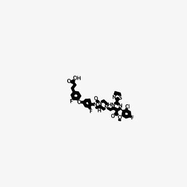 COC(=O)C1=C(CN2CCN3C(=O)N(c4ccc(Oc5ccc(CCC(=O)O)cc5F)cc4F)C[C@@H]3C2)NC(c2nccs2)=N[C@H]1c1ccc(F)cc1Cl